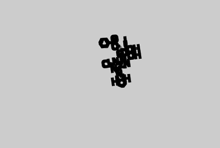 CC#C[C@@]1(O)[C@@H](COC(=O)c2ccccc2)O[C@@H](n2ncc3c(N4C[C@H]5CCC[C@H]5C4)nc(Cl)nc32)[C@@H]1O